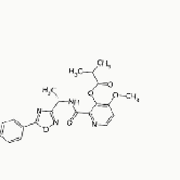 COc1ccnc(C(=O)N[C@@H](C)c2noc(-c3ccccc3)n2)c1OC(=O)C(C)C